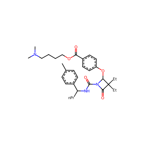 CCCC(NC(=O)N1C(=O)C(CC)(CC)C1Oc1ccc(C(=O)OCCCCN(C)C)cc1)c1ccc(C)cc1